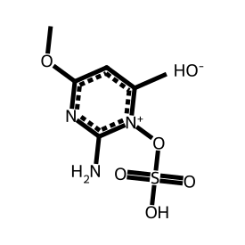 COc1cc(C)[n+](OS(=O)(=O)O)c(N)n1.[OH-]